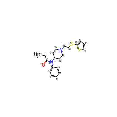 CCC(=O)N(c1ccccc1)C1CCN(CCSc2cccs2)CC1